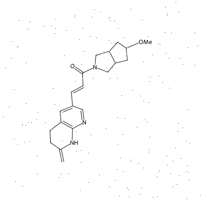 C=C1CCc2cc(/C=C/C(=O)N3CC4CC(OC)CC4C3)cnc2N1